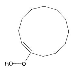 OOC1=CCCCCCCCCCC1